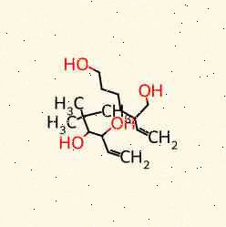 C=CC(CO)CCCCO.C=CC(O)C(O)C(C)(C)C